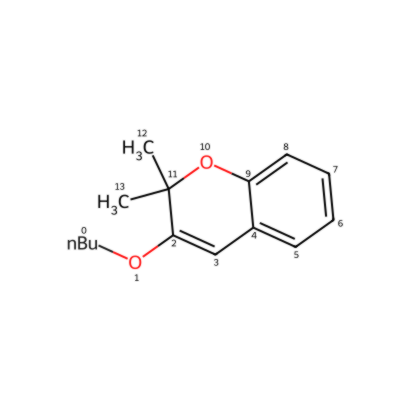 CCCCOC1=Cc2ccccc2OC1(C)C